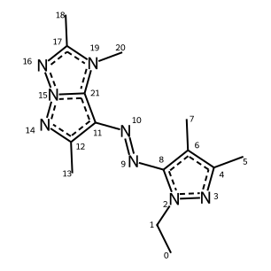 CCn1nc(C)c(C)c1/N=N/c1c(C)nn2nc(C)n(C)c12